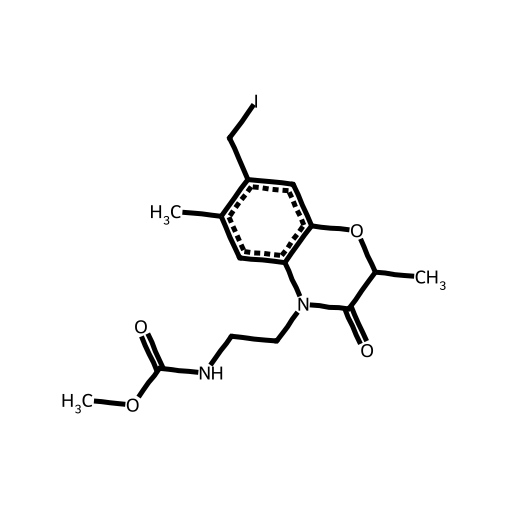 COC(=O)NCCN1C(=O)C(C)Oc2cc(CI)c(C)cc21